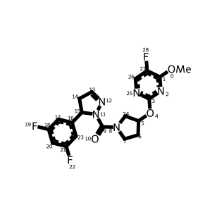 COc1nc(OC2CCN(C(=O)N3N=CCC3c3cc(F)cc(F)c3)C2)ncc1F